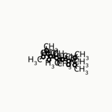 Cc1ccc(N(c2ccc(C)cc2C)c2cc3c(c4ccccc24)-c2cc4c(cc2C3(C)C)-c2cc3c(cc2[Si]4(C)C)-c2c(cc(N(c4ccc(C)cc4C)c4ccc(C)cc4C)c4ccccc24)C3(C)C)c(C)c1